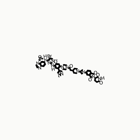 COc1cc(N2CCN(C(=O)CC3CCN(C4CN(c5ccc6c(c5)C(=O)N(C5CCC(=O)NC5=O)C6=O)C4)CC3)CC2)c(-c2cnn(C)c2)cc1Nc1ncc(Br)c(Nc2ccc3nccnc3c2P(C)(C)=O)n1